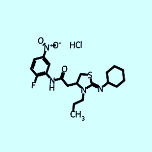 CCCN1C(=NC2CCCCC2)SCC1CC(=O)Nc1cc([N+](=O)[O-])ccc1F.Cl